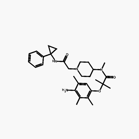 Cc1cc(OC(C)(C)C(=O)N(C)C2CCN(CC(=O)NC3(c4ccccc4)CC3)CC2)c(C)c(C)c1N